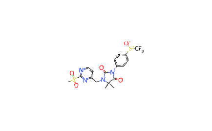 CC1(C)C(=O)N(c2ccc([S+]([O-])C(F)(F)F)cc2)C(=O)N1Cc1ccnc(S(C)(=O)=O)n1